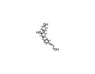 OCCC#Cc1ccc(CN2CCC(N3CCC(O)CC3)[C@H](O)C2)cc1